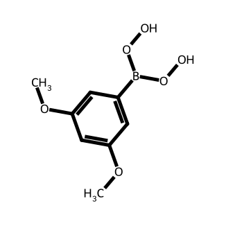 COc1cc(OC)cc(B(OO)OO)c1